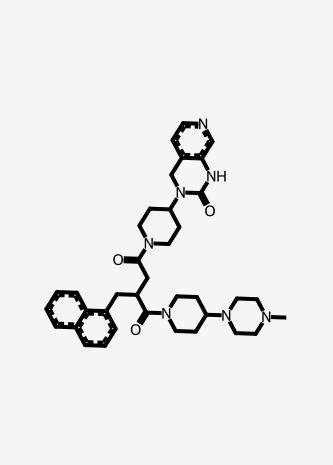 CN1CCN(C2CCN(C(=O)C(CC(=O)N3CCC(N4Cc5ccncc5NC4=O)CC3)Cc3cccc4ccccc34)CC2)CC1